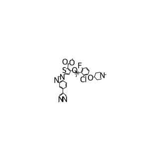 COC(=O)c1sc(-n2cnc3cc(-c4cnn(C)c4)ccc32)cc1O[C@H](C)c1c(F)ccc(OC2CCN(C)CC2)c1Cl